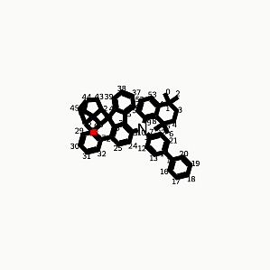 CC1(C)CCC(C)(C)c2c(N(c3ccc(-c4ccccc4)cc3)c3ccc(-c4ccccc4)c4c3-c3ccccc3C43C4CC5CC6CC3C64C5)cccc21